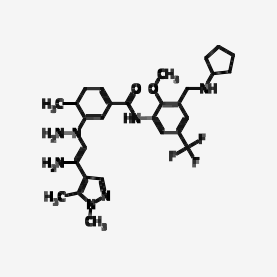 COc1c(CNC2CCCC2)cc(C(F)(F)F)cc1NC(=O)C1=CCC(C)C(N(N)/C=C(\N)c2cnn(C)c2C)=C1